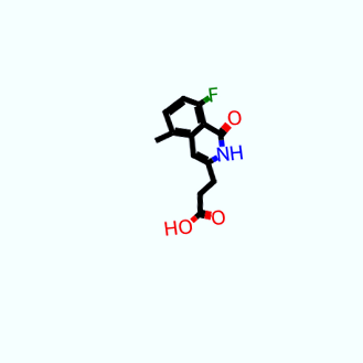 Cc1ccc(F)c2c(=O)[nH]c(CCC(=O)O)cc12